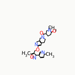 Cc1ccc(-c2noc(C)c2COc2cc3c(cn2)CN(C(=O)C2CCC(=O)N(C)C2)CC3)cn1